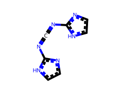 C(=Nc1ncc[nH]1)=Nc1ncc[nH]1